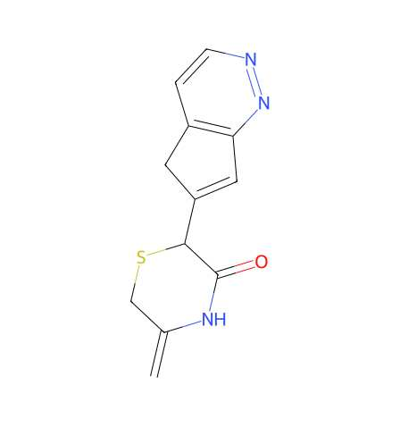 C=C1CSC(C2=Cc3nnccc3C2)C(=O)N1